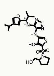 CC(C)c1coc([C@H](Nc2nsnc2Nc2csc(S(=O)(=O)N3CCCC3CO)c2O)C(C)C)c1